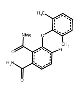 CCc1ccc(C(N)=O)c(C(=O)NC)c1Oc1c(C)cccc1C